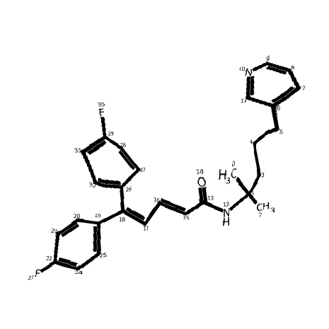 CC(C)(CCCc1cccnc1)NC(=O)C=CC=C(c1ccc(F)cc1)c1ccc(F)cc1